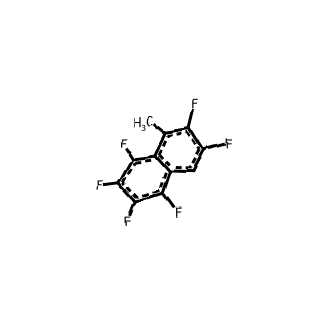 Cc1c(F)c(F)cc2c(F)c(F)c(F)c(F)c12